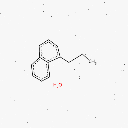 CCCc1cccc2ccccc12.O